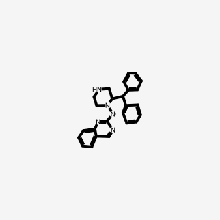 c1ccc(C(c2ccccc2)C2CNCCN2[N]c2ncc3ccccc3n2)cc1